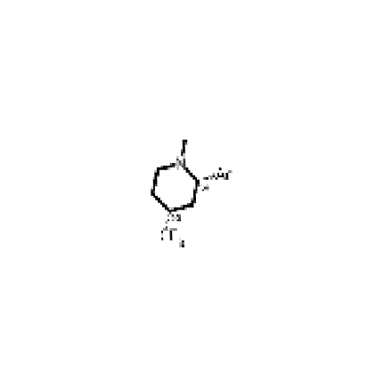 CC(=O)[C@@H]1C[C@H](C(F)(F)F)CCN1C